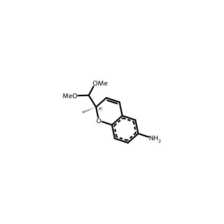 COC(OC)[C@@]1(C)C=Cc2cc(N)ccc2O1